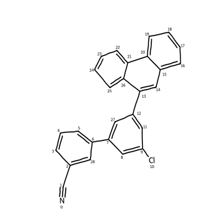 N#Cc1cccc(-c2cc(Cl)cc(-c3cc4ccccc4c4ccccc34)c2)c1